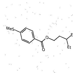 CCC(CC)CCOC(=O)c1ccc(SC)cc1